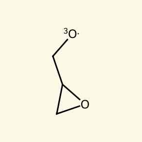 [3O]CC1CO1